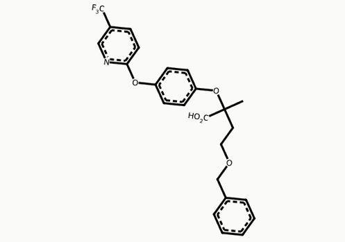 CC(CCOCc1ccccc1)(Oc1ccc(Oc2ccc(C(F)(F)F)cn2)cc1)C(=O)O